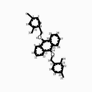 Cc1ccc(COc2c3ccccc3c(OCc3ccc(C)cc3C)c3ccccc23)c(C)c1